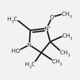 CO[N+]1=C(C)N(O)C(C)(C)C1(C)C